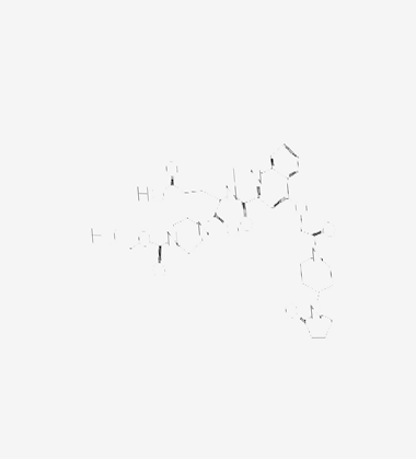 CCOC(=O)N1CCN(C(=O)C(CCC(=O)O)NC(=O)c2cc(OCC(=O)N3CCC(N4CCCC4=O)CC3)c3ccccc3n2)CC1